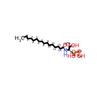 CCCCCCCCCCCCCCCC(=O)N[C@@H](COP(=O)(O)O)C(=O)O